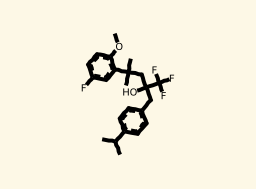 COc1ccc(F)cc1C(C)(C)CC(O)(Cc1ccc(C(C)C)cc1)C(F)(F)F